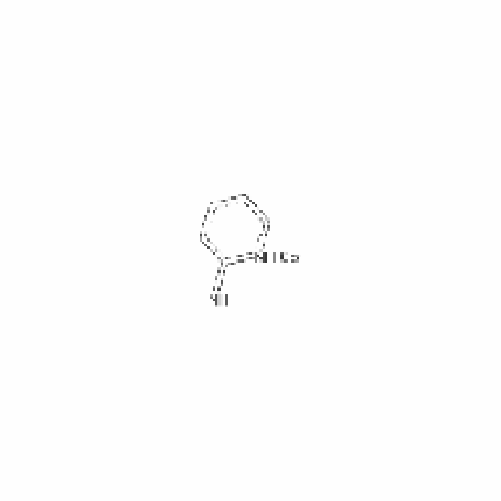 N=c1cccc[nH]1.[Co]